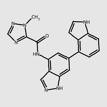 Cn1ncnc1C(=O)Nc1cc(-c2cccc3[nH]ccc23)cc2[nH]ncc12